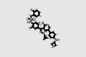 Nc1ncc(-c2ccc(NC3COC3)cc2)c2c1c(-c1ccc(NS(=O)(=O)Cc3ccccc3F)c(F)c1)nn2C1CC1